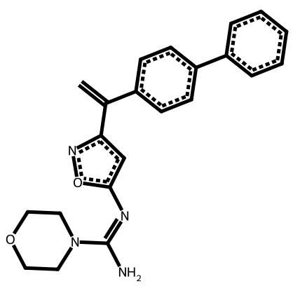 C=C(c1ccc(-c2ccccc2)cc1)c1cc(/N=C(/N)N2CCOCC2)on1